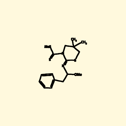 COC(Cc1ccccc1)N=C1SCC(C)(C)CN1C(=S)SC